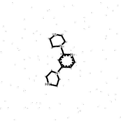 c1cc(N2CCNCC2)cc(N2CCSCC2)n1